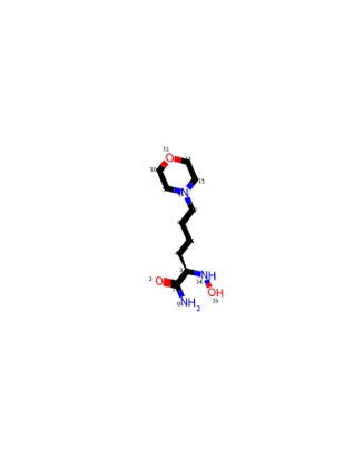 NC(=O)[C@@H](CCCCN1CCOCC1)NO